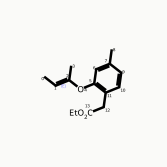 C/C=C(\C)Oc1cc(C)ccc1CC(=O)OCC